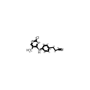 Cc1cnc(Cl)nc1Nc1ccc(CCC#N)cc1